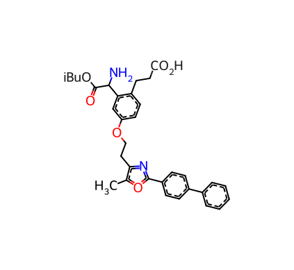 Cc1oc(-c2ccc(-c3ccccc3)cc2)nc1CCOc1ccc(CCC(=O)O)c(C(N)C(=O)OCC(C)C)c1